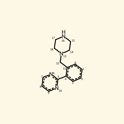 [c]1cccc(-c2ncccn2)c1CN1CCNCC1